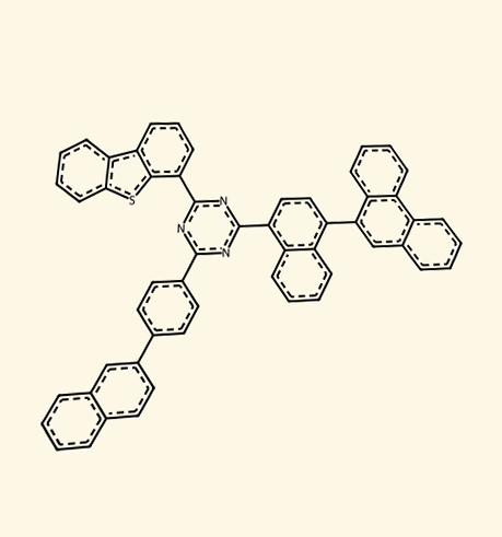 c1ccc2cc(-c3ccc(-c4nc(-c5ccc(-c6cc7ccccc7c7ccccc67)c6ccccc56)nc(-c5cccc6c5sc5ccccc56)n4)cc3)ccc2c1